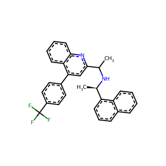 CC(N[C@H](C)c1cccc2ccccc12)c1cc(-c2ccc(C(F)(F)F)cc2)c2ccccc2n1